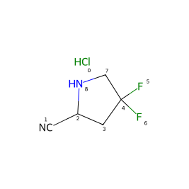 Cl.N#CC1CC(F)(F)CN1